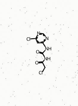 O=C(CCl)NC(=O)Nc1cc(Cl)ncn1